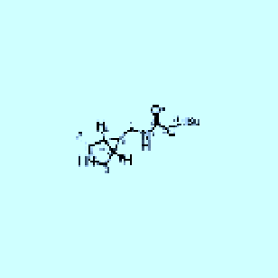 C[C@H]1NC[C@H]2[C@H](CNC(=O)OC(C)(C)C)[C@H]21